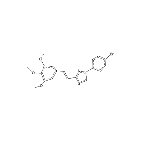 COc1cc(/C=C/c2nc(-c3ccc(Br)cc3)cs2)cc(OC)c1OC